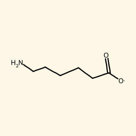 NCCCCCC([O])=O